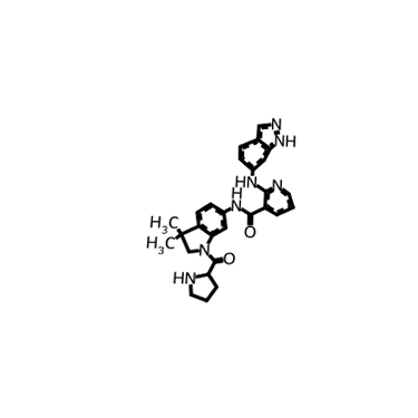 CC1(C)CN(C(=O)C2CCCN2)c2cc(NC(=O)c3cccnc3Nc3ccc4cn[nH]c4c3)ccc21